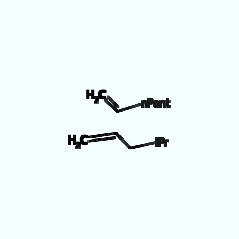 C=CCC(C)C.C=CCCCCC